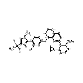 COc1ncnc(C2CC2)c1-c1ncc2c(n1)N(Cc1ccc(-c3nc(C(C)(F)F)cn3C)c(F)c1)CCO2